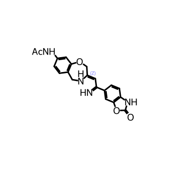 CC(=O)Nc1ccc2c(c1)OC/C(=C/C(=N)c1ccc3[nH]c(=O)oc3c1)NC2